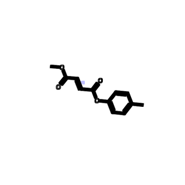 COC(=O)/C=C/C(=O)Oc1ccc(C)cc1